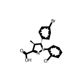 C[C@@H]1C(C(=O)O)=NN(c2ccccc2Cl)[C@H]1c1ccc(Br)cc1